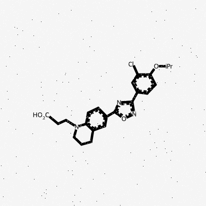 CC(C)Oc1ccc(-c2noc(-c3ccc4c(c3)CCCN4CCC(=O)O)n2)cc1Cl